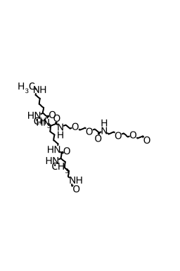 CNCCCCC(NC)C(=O)NC(CCCCNC(=O)C(CCCCNC=O)NC)C(=O)NCCOCCOCC(=O)NCCOCCOCC=O